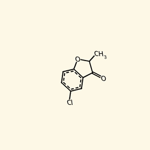 CC1Oc2ccc(Cl)cc2C1=O